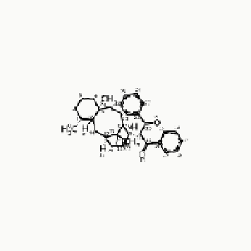 C[C@@H]1CCC[C@@]2(C)CC[C@H]3[C@H](C(C(=O)c4ccccc4)C(=O)c4ccccc4)CC[C@@H](C[C@H]12)C3(C)C